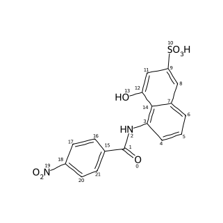 O=C(Nc1cccc2cc(S(=O)(=O)O)cc(O)c12)c1ccc([N+](=O)[O-])cc1